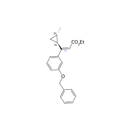 CCOC(=O)/C=C(/c1cccc(OCc2ccccc2)c1)[C@H]1C[C@@H]1C